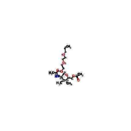 CCCOCCOCCO[C@@H]1OC(COC(C)=O)[C@H](C)[C@H](C)C1NC(C)=O